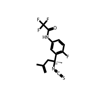 C=C(C)C[C@](C)(N=C=S)c1cc(NC(=O)C(F)(F)F)ccc1F